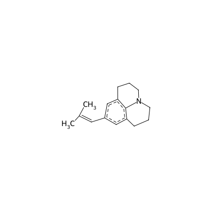 CC(C)=Cc1cc2c3c(c1)CCCN3CCC2